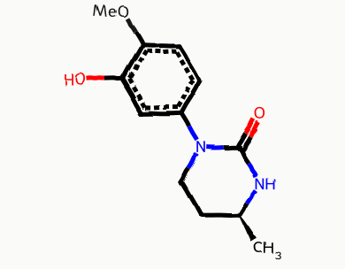 COc1ccc(N2CC[C@H](C)NC2=O)cc1O